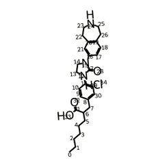 CCCCCCC(Cc1ccc(N2CCN(c3ccc4c(c3)CCNCC4)C2=O)cc1)C(=O)O.Cl